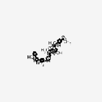 Cc1ncsc1-c1ccc([C@H](C)NC(=O)[C@@H]2C[C@@H](O)CN2C(=O)[C@@H](NC(=O)CN2CCC(Nc3ccc(-c4cc(-c5ccccc5O)nnc4N)cc3)CC2)C(C)(C)C)cc1